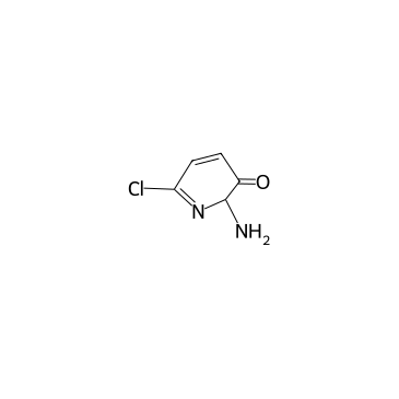 NC1N=C(Cl)C=CC1=O